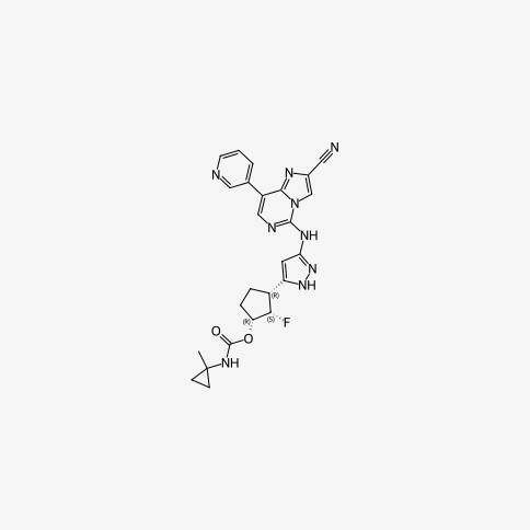 CC1(NC(=O)O[C@@H]2CC[C@H](c3cc(Nc4ncc(-c5cccnc5)c5nc(C#N)cn45)n[nH]3)[C@@H]2F)CC1